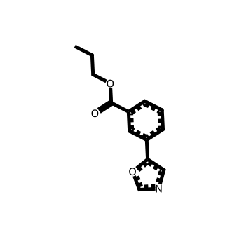 CCCOC(=O)c1cccc(-c2cnco2)c1